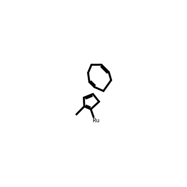 C1=CCCC=CCC1.CC1=[C]([Ru])CC=C1